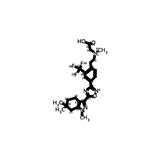 CN(CCc1ccc(-c2noc(-c3nn(C)c4c3CCC(C)(C)C4)n2)cc1C(F)(F)F)CC(=O)O